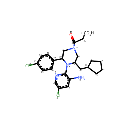 Nc1cc(Cl)cnc1N1C(CC2CCCC2)CN(C(=O)CC(=O)O)CC1c1ccc(Cl)cc1